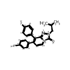 CC(C)Cn1nc2c(-c3ccc(F)cc3)c(-c3ccc(F)cc3)ccn2c1=O